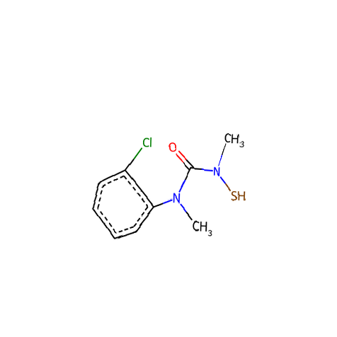 CN(S)C(=O)N(C)c1ccccc1Cl